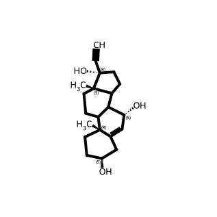 C#C[C@@]1(O)CCC2C3C(CC[C@@]21C)[C@@]1(C)CC[C@H](O)CC1=C[C@H]3O